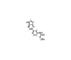 CC(C)(C)OC(=O)Nc1cccc(-c2cnc3[nH]ccc3c2)c1